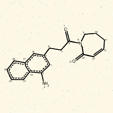 Nc1cc(CCC(=O)N2CCCC=CC2=O)cc2ccccc12